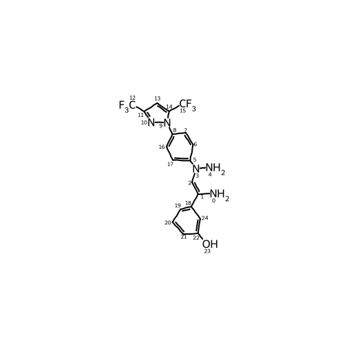 N/C(=C\N(N)c1ccc(-n2nc(C(F)(F)F)cc2C(F)(F)F)cc1)c1cccc(O)c1